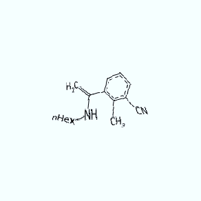 C=C(NCCCCCC)c1cccc(C#N)c1C